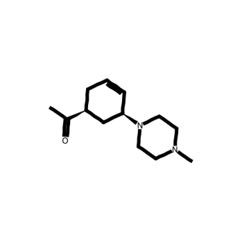 CC(=O)[C@H]1CC=C[C@@H](N2CCN(C)CC2)C1